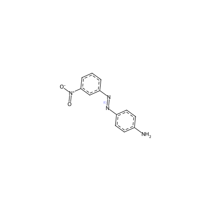 Nc1ccc(/N=N/c2cccc([N+](=O)[O-])c2)cc1